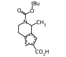 CC1c2cc(C(=O)O)sc2CCN1C(=O)OC(C)(C)C